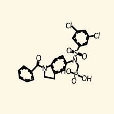 O=C(c1ccccc1)N1CCc2cc(N(CP(=O)(O)O)S(=O)(=O)c3cc(Cl)cc(Cl)c3)ccc21